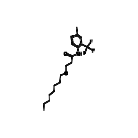 CCCCCCCCOCCC(=O)Nc1ccc(C)cc1C(F)(F)F